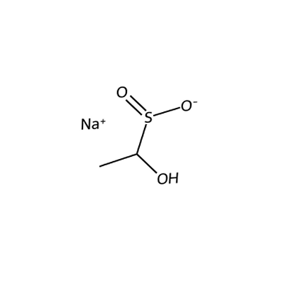 CC(O)S(=O)[O-].[Na+]